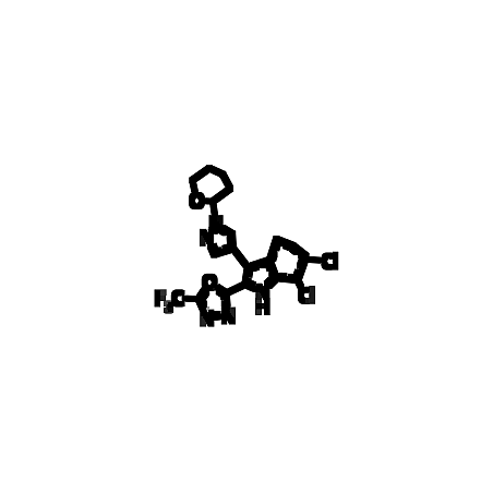 FC(F)(F)c1nnc(-c2[nH]c3c(Cl)c(Cl)ccc3c2-c2cnn(C3CCCCO3)c2)o1